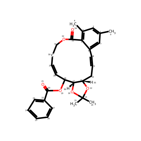 Cc1cc(C)c2c(c1)/C=C/C[C@@H]1OC(C)(C)O[C@@H]1C(OC(=O)c1ccccc1)/C=C\CCOC2=O